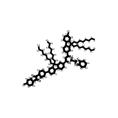 CCCCCCCCC1(CCCCCCCC)c2cc(C)ccc2-c2ccc(-c3cc(-c4ccc5c(c4)C(CCCCCCCC)(CCCCCCCC)c4cc(-c6ccc7c(c6)sc6c8ccc(C)cc8sc76)ccc4-5)nc(-c4nc5ccccc5s4)n3)cc21